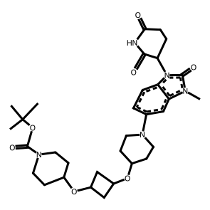 Cn1c(=O)n(C2CCC(=O)NC2=O)c2ccc(N3CCC(OC4CC(OC5CCN(C(=O)OC(C)(C)C)CC5)C4)CC3)cc21